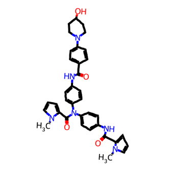 Cn1cccc1C(=O)Nc1ccc(N(C(=O)c2cccn2C)c2ccc(NC(=O)c3ccc(N4CCC(O)CC4)cc3)cc2)cc1